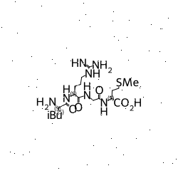 CC[C@H](C)[C@H](N)C(=O)N[C@@H](CCCNC(=N)N)C(=O)NCC(=O)N[C@@H](CCSC)C(=O)O